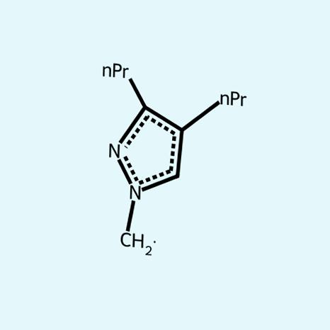 [CH2]n1cc(CCC)c(CCC)n1